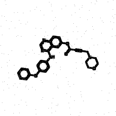 O=C(C#CCN1CCOCC1)Oc1ccc2ncnc(Nc3ccc(Oc4ccccc4)cc3)c2c1